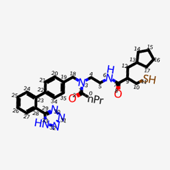 CCCC(=O)N(CCNC(=O)C(CS)CC1CCCC1)Cc1ccc(-c2ccccc2-c2nnn[nH]2)cc1